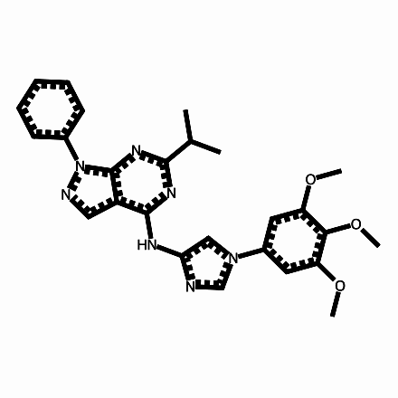 COc1cc(-n2cnc(Nc3nc(C(C)C)nc4c3cnn4-c3ccccc3)c2)cc(OC)c1OC